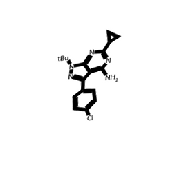 CC(C)(C)n1nc(-c2ccc(Cl)cc2)c2c(N)nc(C3CC3)nc21